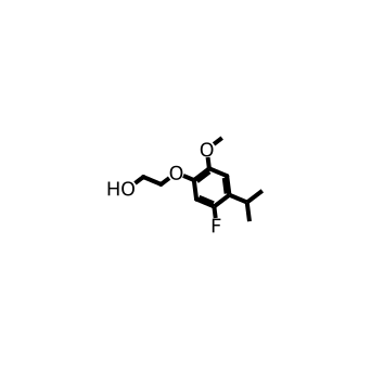 COc1cc(C(C)C)c(F)cc1OCCO